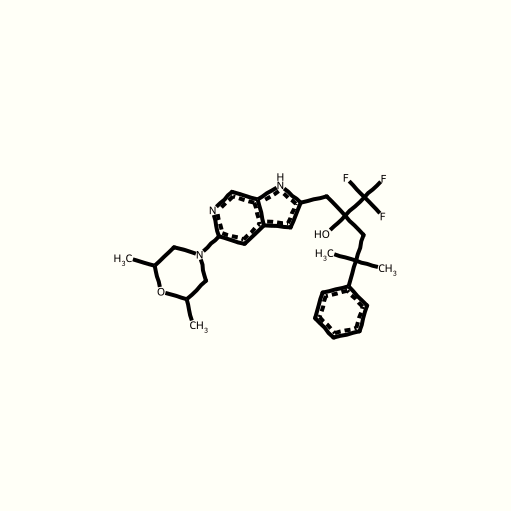 CC1CN(c2cc3cc(CC(O)(CC(C)(C)c4ccccc4)C(F)(F)F)[nH]c3cn2)CC(C)O1